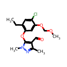 CCc1cc(Cl)c(OCOC)cc1Oc1c(C=O)c(C)nn1C